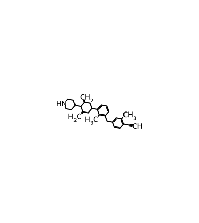 C#Cc1ccc(Cc2cccc(C3CC(=C)C(C4CCNCC4)C(=C)C3)c2C)cc1C